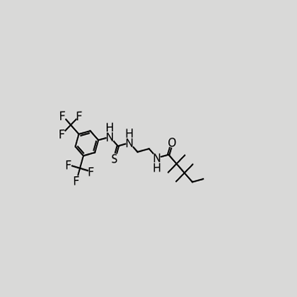 CCC(C)(C)C(C)(C)C(=O)NCCNC(=S)Nc1cc(C(F)(F)F)cc(C(F)(F)F)c1